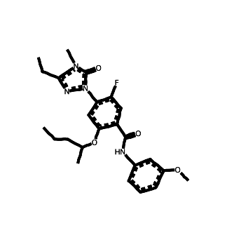 CCCC(C)Oc1cc(-n2nc(CC)n(C)c2=O)c(F)cc1C(=O)Nc1cccc(OC)c1